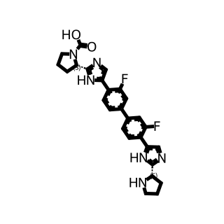 O=C(O)N1CCC[C@H]1c1ncc(-c2ccc(-c3ccc(-c4cnc([C@@H]5CCCN5)[nH]4)c(F)c3)cc2F)[nH]1